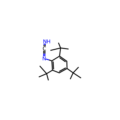 CC(C)(C)c1cc(C(C)(C)C)c(N=C=N)c(C(C)(C)C)c1